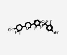 CCCc1ccc(C(F)(F)Oc2ccc(C3CCC(C4CCC(CCC)C(F)(F)C4)OC3)c(F)c2F)c(F)c1